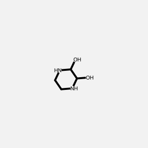 OC1NCCNC1O